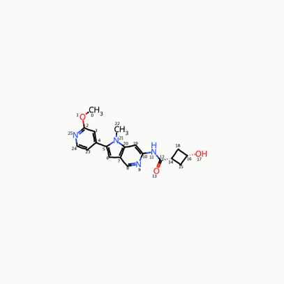 COc1cc(-c2cc3cnc(NC(=O)[C@H]4C[C@@H](O)C4)cc3n2C)ccn1